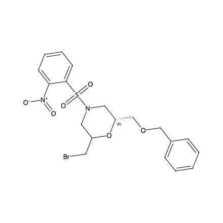 O=[N+]([O-])c1ccccc1S(=O)(=O)N1CC(CBr)O[C@@H](COCc2ccccc2)C1